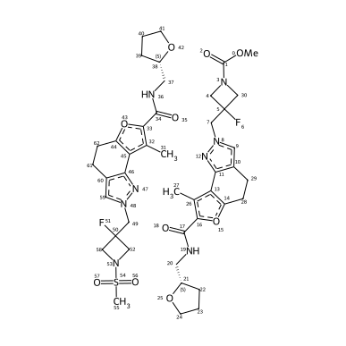 COC(=O)N1CC(F)(Cn2cc3c(n2)-c2c(oc(C(=O)NC[C@@H]4CCCO4)c2C)CC3)C1.Cc1c(C(=O)NC[C@@H]2CCCO2)oc2c1-c1nn(CC3(F)CN(S(C)(=O)=O)C3)cc1CC2